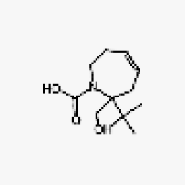 CC(C)(C)C1(CO)CC=CCCN1C(=O)O